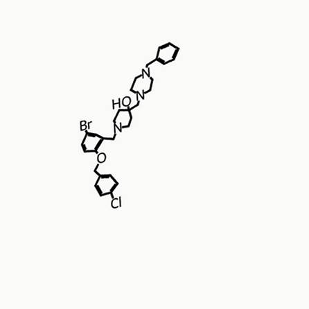 OC1(CN2CCN(Cc3ccccc3)CC2)CCN(Cc2cc(Br)ccc2OCc2ccc(Cl)cc2)CC1